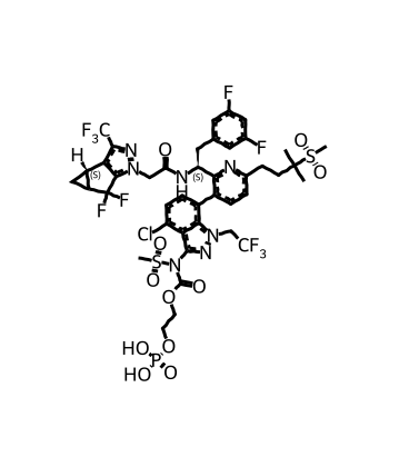 CC(C)(CCc1ccc(-c2ccc(Cl)c3c(N(C(=O)OCCOP(=O)(O)O)S(C)(=O)=O)nn(CC(F)(F)F)c23)c([C@H](Cc2cc(F)cc(F)c2)NC(=O)Cn2nc(C(F)(F)F)c3c2C(F)(F)C2C[C@H]32)n1)S(C)(=O)=O